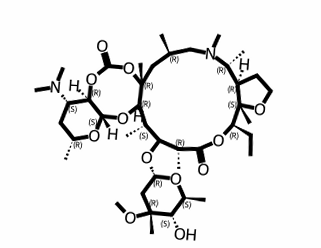 CC[C@H]1OC(=O)[C@H](C)C(O[C@H]2C[C@@](C)(OC)[C@@H](O)[C@H](C)O2)[C@H](C)[C@H]2O[C@@H]3O[C@H](C)C[C@H](N(C)C)[C@H]3OC(=O)O[C@]2(C)C[C@@H](C)CN(C)[C@H](C)[C@H]2CCO[C@@]21C